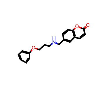 O=c1ccc2cc(CNCCCOc3ccccc3)ccc2o1